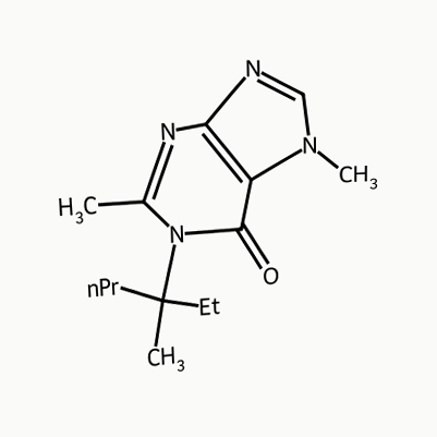 CCCC(C)(CC)n1c(C)nc2ncn(C)c2c1=O